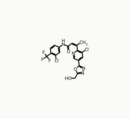 CC(=CC(=O)Nc1ccc(C(F)(F)F)c(Cl)c1)c1ncc(-c2nnc(CO)o2)cc1Cl